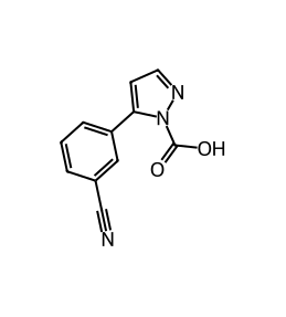 N#Cc1cccc(-c2ccnn2C(=O)O)c1